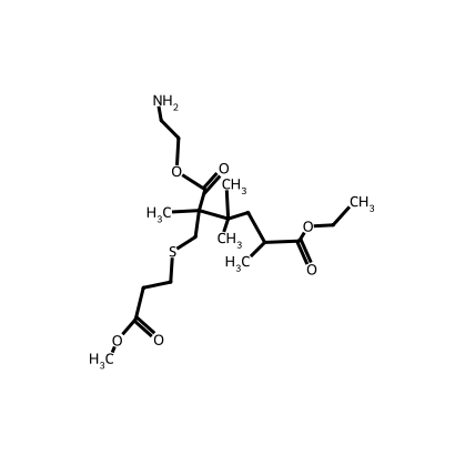 CCOC(=O)C(C)CC(C)(C)C(C)(CSCCC(=O)OC)C(=O)OCCN